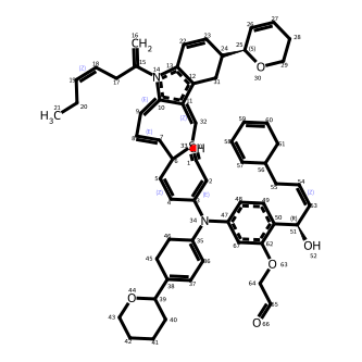 C#C/C=C(\C=C/C1/C=C/C=c2\c(c3c(n2C(=C)C/C=C\CC)C=CC([C@H]2C=CCCO2)C3)=C/S1)N(C1=CC=C(C2CCCCO2)CC1)c1ccc([C@H](O)/C=C\CC2C=CC=CC2)c(OCC=O)c1